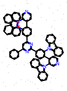 C1=CC2c3ccccc3N(c3cc(-c4cc(-c5ccccc5)nc(-c5ccc(-c6ccncc6-n6c7ccccc7c7ccccc76)c(-n6c7ccccc7c7ccccc76)c5)n4)ccc3-c3ccncc3-n3c4ccccc4c4ccccc43)C2C=C1